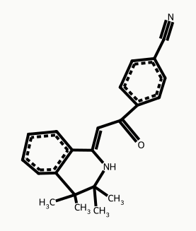 CC1(C)NC(=CC(=O)c2ccc(C#N)cc2)c2ccccc2C1(C)C